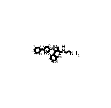 NCCNCc1cnn(-c2ccc(-c3ccccc3)nc2)c1-c1ccccc1F